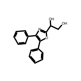 OCC(O)c1nc(-c2ccccc2)c(-c2ccccc2)o1